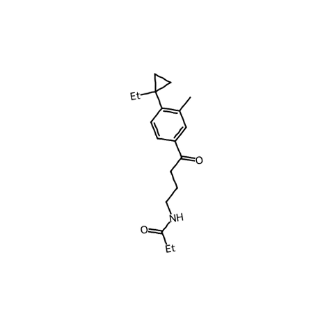 CCC(=O)NCCCC(=O)c1ccc(C2(CC)CC2)c(C)c1